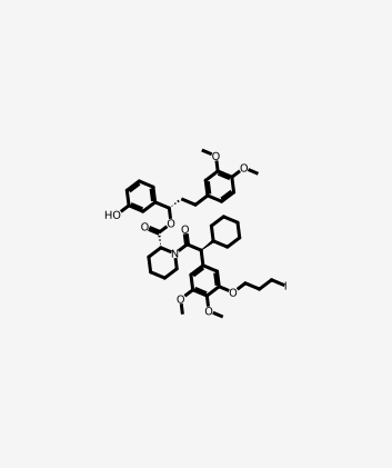 COc1ccc(CC[C@H](OC(=O)[C@H]2CCCCN2C(=O)[C@H](c2cc(OC)c(OC)c(OCCCI)c2)C2CCCCC2)c2cccc(O)c2)cc1OC